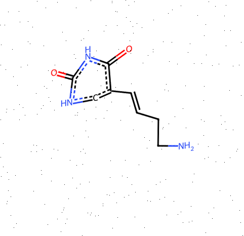 NCC/C=C/c1c[nH]c(=O)[nH]c1=O